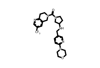 O=C(N1CCc2ncc(C(F)(F)F)cc2C1)N1CCC(NCc2ccc(N3CCOCC3)nc2)C1